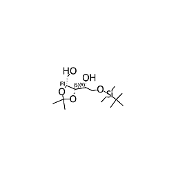 CC1(C)O[C@@H]([C@H](O)CO[Si](C)(C)C(C)(C)C)[C@@H](CO)O1